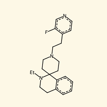 CCN1CCc2ccccc2C12CCN(CCc1ccncc1F)CC2